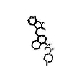 O=C1Nc2ncccc2C1=Cc1ccc(S(=O)(=O)NN2CCNCC2)c2c1CCCC2